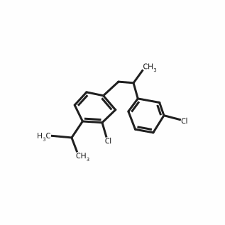 CC(C)c1ccc(CC(C)c2cccc(Cl)c2)cc1Cl